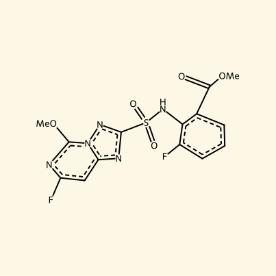 COC(=O)c1cccc(F)c1NS(=O)(=O)c1nc2cc(F)nc(OC)n2n1